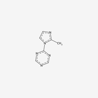 Cc1nccn1-c1ncncn1